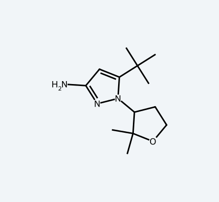 CC(C)(C)c1cc(N)nn1C1CCOC1(C)C